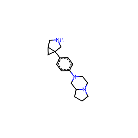 c1cc(C23CNCC2C3)ccc1N1CCN2CCCC2C1